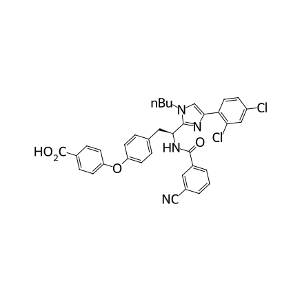 CCCCn1cc(-c2ccc(Cl)cc2Cl)nc1[C@H](Cc1ccc(Oc2ccc(C(=O)O)cc2)cc1)NC(=O)c1cccc(C#N)c1